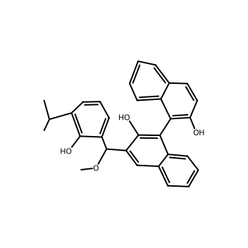 COC(c1cccc(C(C)C)c1O)c1cc2ccccc2c(-c2c(O)ccc3ccccc23)c1O